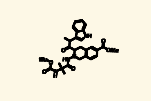 COC(=O)c1ccc2c(c1)CC(C(=O)C(C)c1c[nH]c3ccccc13)N(NC(=O)C(C)(C)NC(=O)OC(C)(C)C)C2